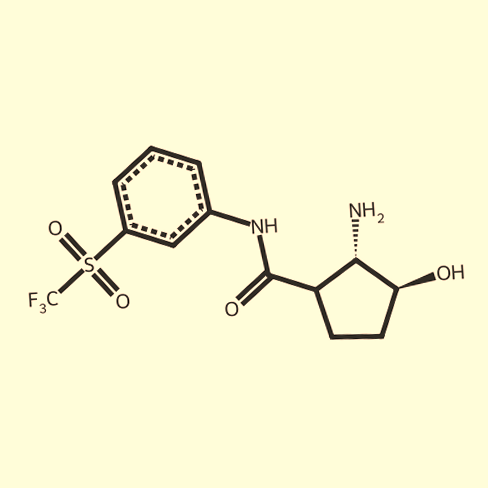 N[C@H]1C(C(=O)Nc2cccc(S(=O)(=O)C(F)(F)F)c2)CC[C@@H]1O